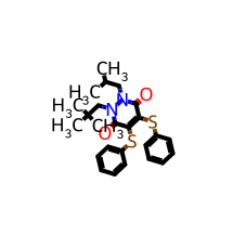 CC(C)Cn1c(=O)c(Sc2ccccc2)c(Sc2ccccc2)c(=O)n1CC(C)(C)C